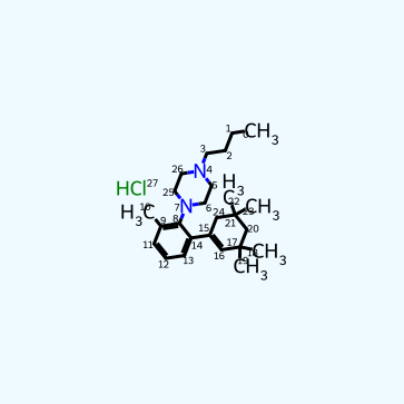 CCCCN1CCN(c2c(C)cccc2C2=CC(C)(C)CC(C)(C)C2)CC1.Cl